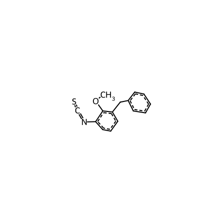 COc1c(Cc2ccccc2)cccc1N=C=S